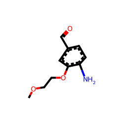 COCCOc1cc(C=O)ccc1N